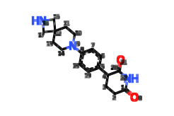 O=C1CCC(c2ccc(N3CCC4(CC3)CNC4)cc2)C(=O)N1